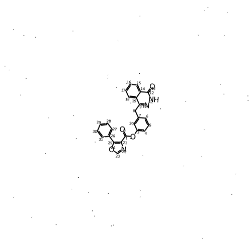 O=C(Oc1cccc(Cc2n[nH]c(=O)c3ccccc23)c1)c1ncoc1-c1ccccc1